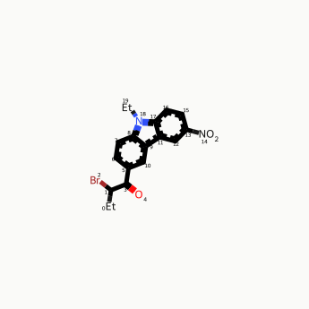 CCC(Br)C(=O)c1ccc2c(c1)c1cc([N+](=O)[O-])ccc1n2CC